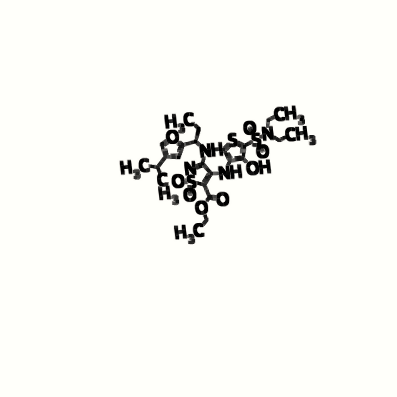 CCOC(=O)C1=C(Nc2csc(S(=O)(=O)N(CC)CC)c2O)C(N[C@H](CC)c2cc(C(C)C)co2)=NS1(=O)=O